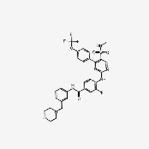 CNS(=O)(=O)c1cnc(Nc2ccc(C(=O)Nc3cccc(CN4CCOCC4)c3)cc2F)nc1-c1ccc(OC(F)(F)F)cc1